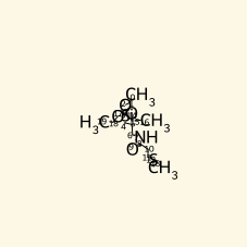 CCO[Si](CCCNC(=O)CCSC)(OCC)OCC